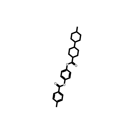 Cc1ccc(C(=O)Oc2ccc(OC(=O)C3CCC(C4CCC(C)CC4)CC3)cc2)cc1